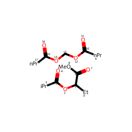 CCC(OC(=O)C(C)C)C(=O)OC.CCCC(=O)OCOC(=O)CCC